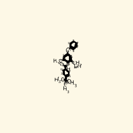 Cc1cc(Oc2ccccc2)cc(C)c1PC(=O)c1ccc(C(C)(C)C)cc1.[LiH]